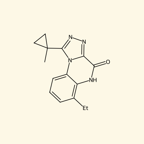 CCc1cccc2c1[nH]c(=O)c1nnc(C3(C)CC3)n12